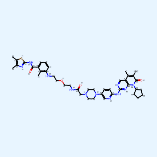 CC(=O)c1c(C)c2cnc(Nc3ccc(N4CCN(CC(=O)NCCOCCNc5cccc(C(=O)Nc6nc(C)c(C)s6)c5C)CC4)cn3)nc2n(C2CCCC2)c1=O